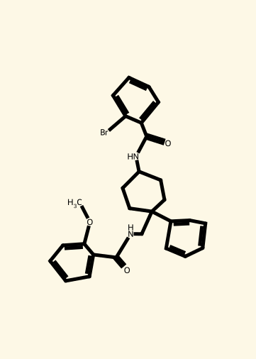 COc1ccccc1C(=O)NCC1(c2ccccc2)CCC(NC(=O)c2ccccc2Br)CC1